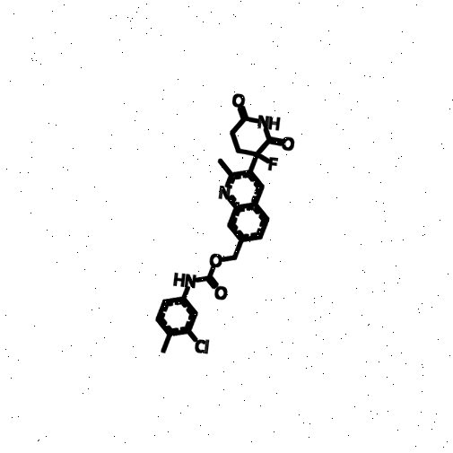 Cc1ccc(NC(=O)OCc2ccc3cc(C4(F)CCC(=O)NC4=O)c(C)nc3c2)cc1Cl